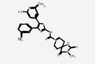 Cc1cc(-c2sc(NC(=O)N3CCC4(CC3)NC(=O)N(C)C4=O)nc2-c2cccc(C#N)c2)cc(C)n1